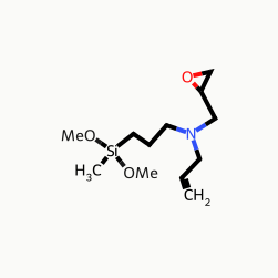 C=CCN(CCC[Si](C)(OC)OC)CC1CO1